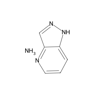 N.c1cnc2cn[nH]c2c1